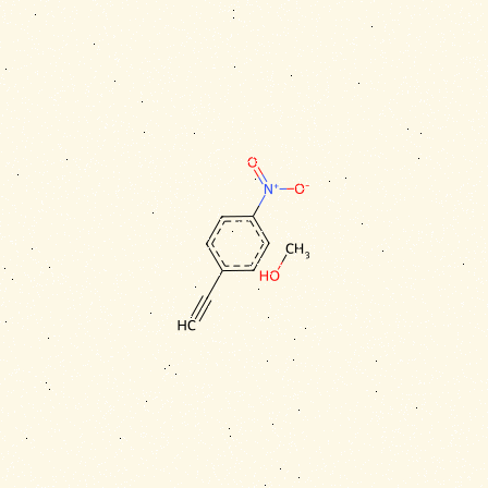 C#Cc1ccc([N+](=O)[O-])cc1.CO